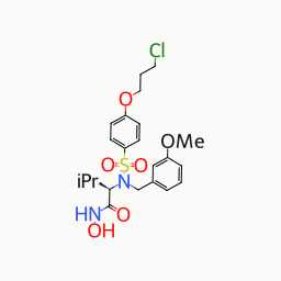 COc1cccc(CN([C@@H](C(=O)NO)C(C)C)S(=O)(=O)c2ccc(OCCCCl)cc2)c1